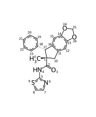 C[C@]1(C(=O)Nc2nccs2)Cc2cc3c(cc2[C@H]1c1ccccc1)OCO3